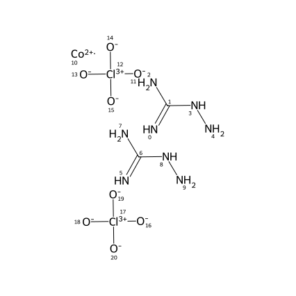 N=C(N)NN.N=C(N)NN.[Co+2].[O-][Cl+3]([O-])([O-])[O-].[O-][Cl+3]([O-])([O-])[O-]